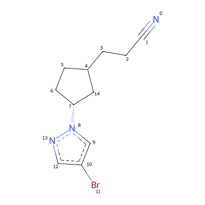 N#CCCC1CC[C@@H](n2cc(Br)cn2)C1